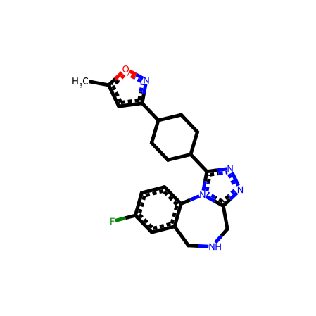 Cc1cc(C2CCC(c3nnc4n3-c3ccc(F)cc3CNC4)CC2)no1